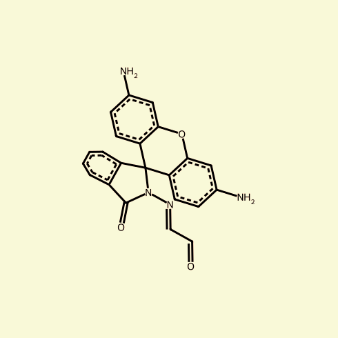 Nc1ccc2c(c1)Oc1cc(N)ccc1C21c2ccccc2C(=O)N1/N=C/C=O